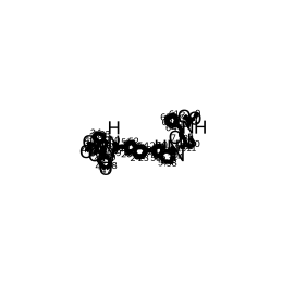 COC(=O)NC(C(=O)N1CCCC1c1nc2c([nH]1)-c1ccc(-c3ccc4cc(-c5cnc(C6CCCN6[N+](O)(C(=O)[O-])C(C)C6CCOCC6)[nH]5)ccc4c3)cc1CC2)c1ccccc1